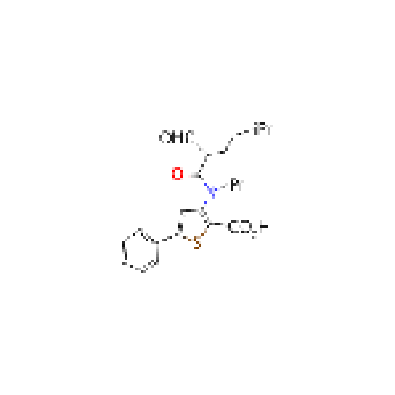 CC(C)CCC(C=O)C(=O)N(c1cc(-c2ccccc2)sc1C(=O)O)C(C)C